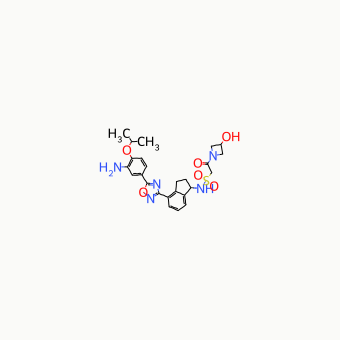 CC(C)Oc1ccc(-c2nc(-c3cccc4c3CC[C@H]4NS(=O)(=O)CC(=O)N3CC(O)C3)no2)cc1N